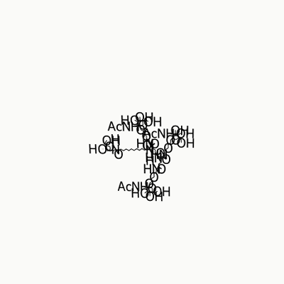 CC(=O)NC1C(OCCOCCNC(=O)CCC(NC(=O)CCC(NC(=O)CCCCCCCCCCC(=O)NC[C@@H]2C[C@H](O)[C@@H](CO)O2)C(=O)NCCOCCOC2OC(CO)C(O)C(O)C2NC(C)=O)C(=O)NCCOCCOC2OC(CO)C(O)C(O)[C@@H]2NC(C)=O)OC(CO)C(O)C1O